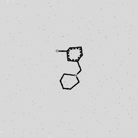 [O]c1cccc(CN2CCCCC2)c1